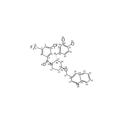 O=C(c1cc(C(F)(F)F)cc(C(F)(F)F)c1)N1CC[C@H](OCc2cnc3ccccc3c2)C[C@H]1Cc1ccc(Cl)c(Cl)c1